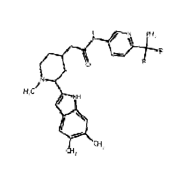 Cc1cc2cc(C3CC(CC(=O)Nc4ccc(C(F)(F)P)nc4)CCN3C)[nH]c2cc1C